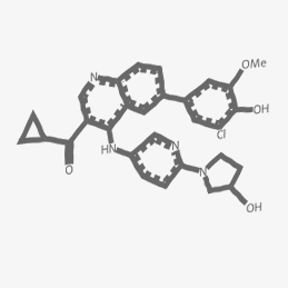 COc1cc(-c2ccc3ncc(C(=O)C4CC4)c(Nc4ccc(N5CCC(O)C5)nc4)c3c2)cc(Cl)c1O